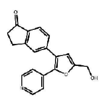 O=C1CCc2cc(-c3cc(CO)oc3-c3ccncc3)ccc21